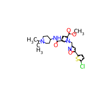 COC(=O)c1cc(C(=O)NC2CCN(C(C)C)CC2)cn1Cc1cc(-c2ccc(Cl)s2)on1